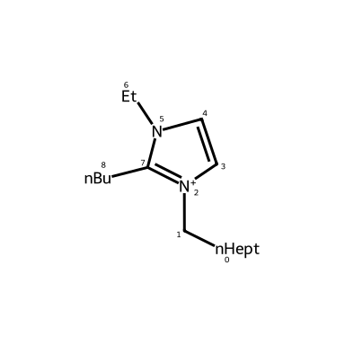 CCCCCCCC[n+]1ccn(CC)c1CCCC